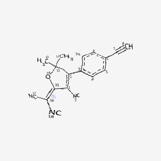 [C-]#[N+]C1=C(c2ccc(C#C)cc2)C(C)(C)O/C1=C(\C#N)[N+]#[C-]